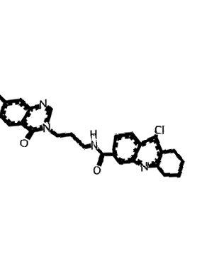 O=C(NCCCn1cnc2cc(Cl)ccc2c1=O)c1ccc2c(Cl)c3c(nc2c1)CCCC3